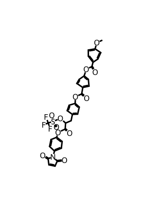 COc1ccc(C(=O)Oc2ccc(C(=O)Oc3ccc(CC(OS(=O)(=O)C(F)(F)F)C(=O)Oc4ccc(N5C(=O)C=CC5=O)cc4)cc3)cc2)cc1